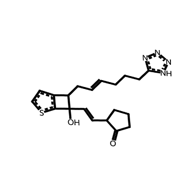 O=C1CCCC1C=CC1(O)c2sccc2C1CC=CCCCc1nnn[nH]1